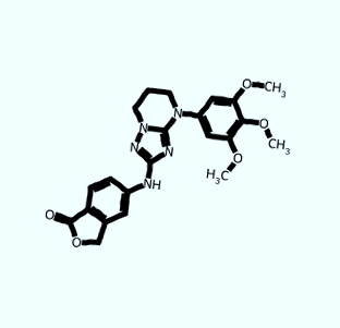 COc1cc(N2CCCn3nc(Nc4ccc5c(c4)COC5=O)nc32)cc(OC)c1OC